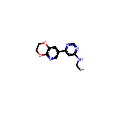 CC(C)CNc1cc(-c2cnc3c(c2)OCCO3)ncn1